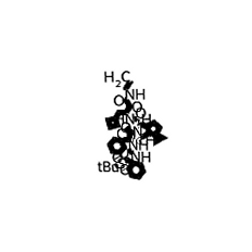 C=CCNC(=O)C(=O)C(CC1CCC1)NC(=O)[C@@H]1[C@H]2CCC3(CC3)[C@H]2CN1C(=O)[C@@H](NC(=O)NC1(CS(=O)(=O)C(C)(C)C)CCCCC1)C1(C)CCCCC1